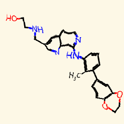 Cc1c(NC2=NC=CC3C=C(CNCCO)C=NC23)cccc1-c1ccc2c(c1)OCCO2